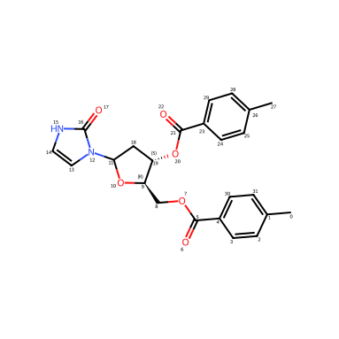 Cc1ccc(C(=O)OC[C@H]2OC(n3cc[nH]c3=O)C[C@@H]2OC(=O)c2ccc(C)cc2)cc1